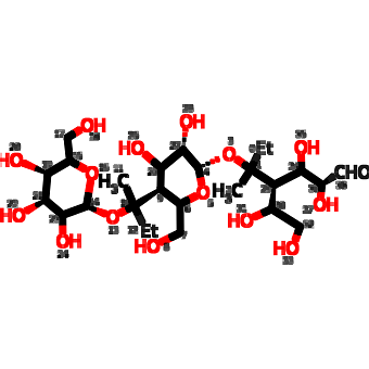 CCC(C)(O[C@@H]1OC(CO)[C@@H](C(C)(CC)O[C@@H]2OC(CO)[C@H](O)[C@H](O)C2O)C(O)[C@@H]1O)[C@H](C(O)CO)C(O)[C@H](O)C=O